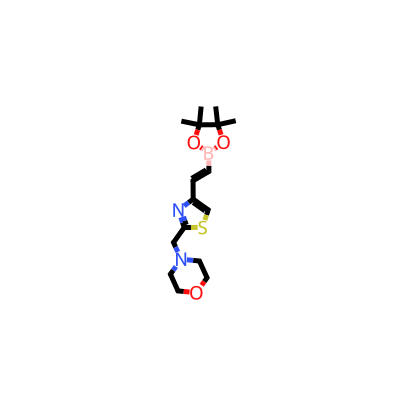 CC1(C)OB(C=Cc2csc(CN3CCOCC3)n2)OC1(C)C